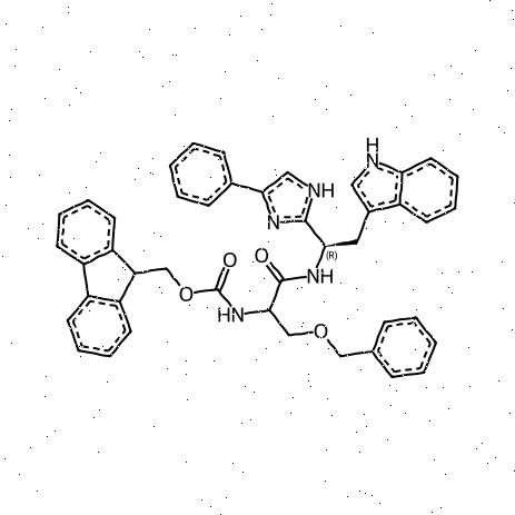 O=C(NC(COCc1ccccc1)C(=O)N[C@H](Cc1c[nH]c2ccccc12)c1nc(-c2ccccc2)c[nH]1)OCC1c2ccccc2-c2ccccc21